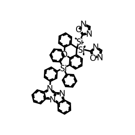 C[Si](C)(c1ncno1)C1([Si](C)(C)c2ncno2)c2ccccc2Oc2c1cccc2[Si](c1ccccc1)(c1ccccc1)c1cccc(-n2c3ccccc3n3c4ccccc4nc23)c1